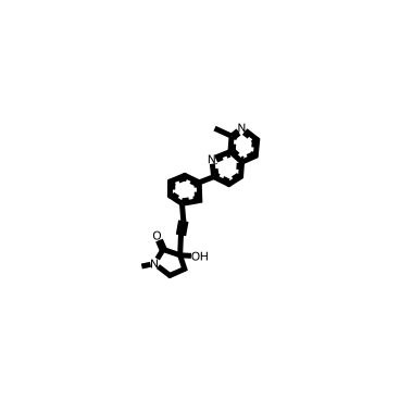 Cc1nccc2ccc(-c3cccc(C#CC4(O)CCN(C)C4=O)c3)nc12